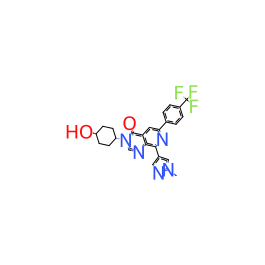 Cn1cc(-c2nc(-c3ccc(C(F)(F)F)cc3)cc3c(=O)n([C@H]4CC[C@H](O)CC4)cnc23)cn1